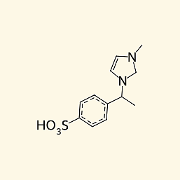 CC(c1ccc(S(=O)(=O)O)cc1)N1C=CN(C)C1